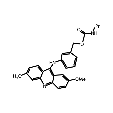 COc1ccc2nc3cc(C)ccc3c(Nc3cccc(COC(=O)NC(C)C)c3)c2c1